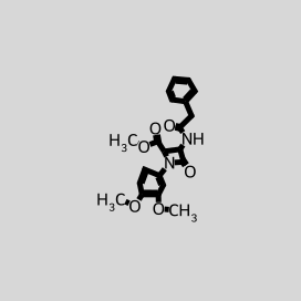 COC(=O)C1C(NC(=O)Cc2ccccc2)C(=O)N1c1ccc(OC)c(OC)c1